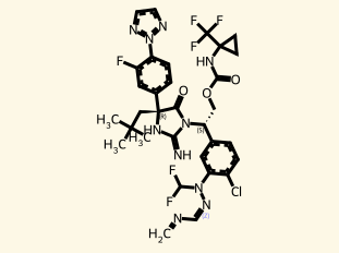 C=N/C=N\N(c1cc([C@@H](COC(=O)NC2(C(F)(F)F)CC2)N2C(=N)N[C@](CC(C)(C)C)(c3ccc(-n4nccn4)c(F)c3)C2=O)ccc1Cl)C(F)F